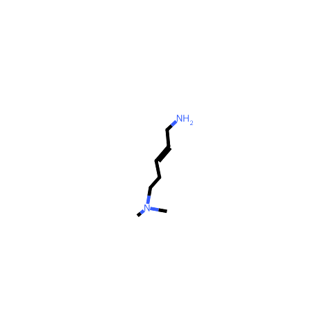 CN(C)CCC=CCN